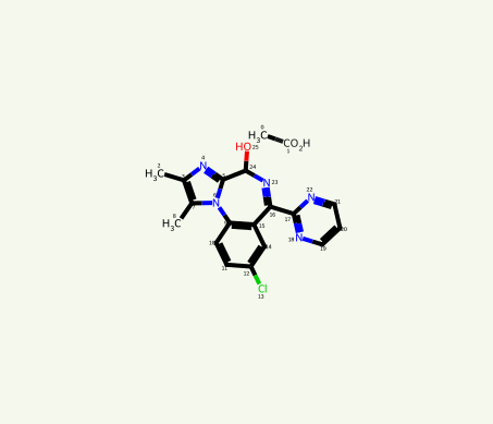 CC(=O)O.Cc1nc2n(c1C)-c1ccc(Cl)cc1C(c1ncccn1)=NC2O